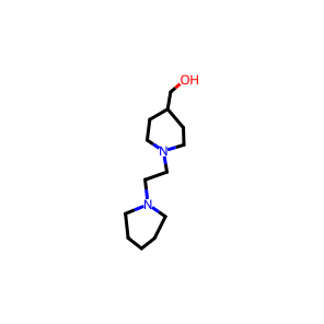 OCC1CCN(CCN2CCCCC2)CC1